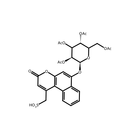 CC(=O)OCC1O[C@@H](Oc2cc3oc(=O)cc(CS(=O)(=O)O)c3c3ccccc23)[C@@H](OC(C)=O)C(OC(C)=O)[C@@H]1OC(C)=O